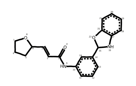 O=C(/C=C/C1CCCO1)Nc1cccc(C2Nc3ccccc3O2)c1